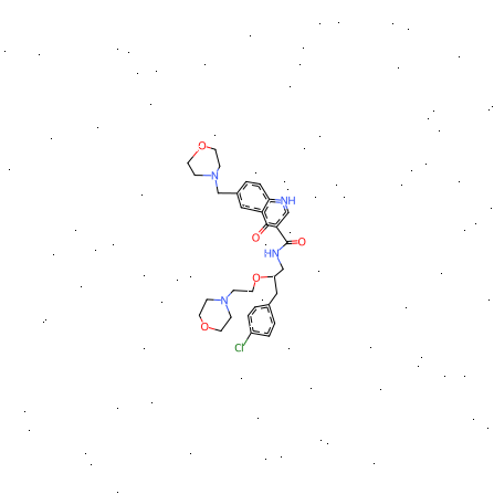 O=C(NCC(Cc1ccc(Cl)cc1)OCCN1CCOCC1)c1c[nH]c2ccc(CN3CCOCC3)cc2c1=O